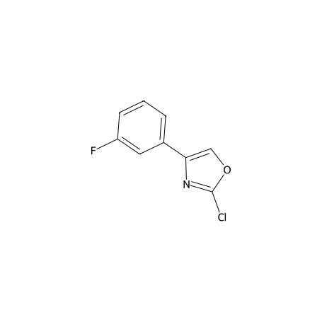 Fc1cccc(-c2coc(Cl)n2)c1